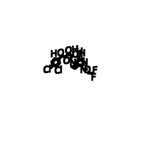 O[C@@H]1[C@H](O)[C@@H]([C@H](O)c2ccc(Cl)c(Cl)c2)O[C@H]1n1ccc2/c(=N/OCC(F)F)nc[nH]c21